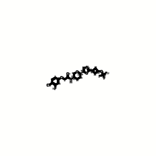 O=C(COc1ccc(Cl)c(F)c1)N[C@@H]1CC[C@@H](c2nnc(C3CC(OC(F)(F)F)C3)o2)OC1